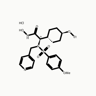 CCO[C@H]1CC[C@H]([C@H](C(=O)NO)N(Cc2ccncc2)S(=O)(=O)c2ccc(OC)cc2)CC1.Cl